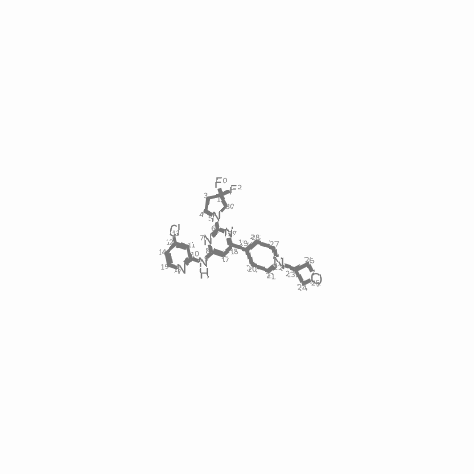 FC1(F)CCN(c2nc(Nc3cc(Cl)ccn3)cc(C3CCN(C4COC4)CC3)n2)C1